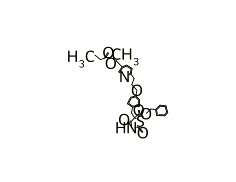 CCCC(=O)O[C@@H](C)c1ccc(CCOc2ccc(CC3(C(=O)OCc4ccccc4)SC(=O)NC3=O)cc2)nc1